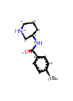 CC(C)(C)c1ccc(C(=O)NC2CCCNC2)cc1